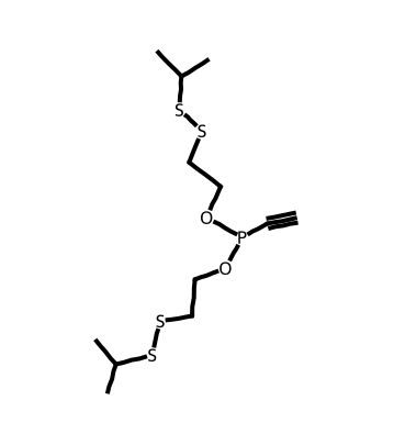 C#CP(OCCSSC(C)C)OCCSSC(C)C